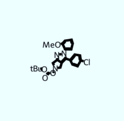 COc1ccccc1-n1nc2c(c1-c1ccc(Cl)cc1)CN(OC(=O)OC(C)(C)C)C2